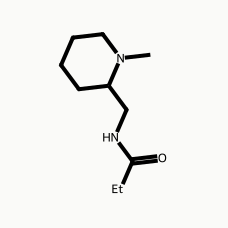 CCC(=O)NCC1CCCCN1C